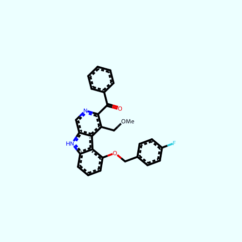 COCc1c(C(=O)c2ccccc2)ncc2[nH]c3cccc(OCc4ccc(F)cc4)c3c12